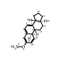 [SiH3]OC1=CC2=CC=C3[C@@H]4CCC[C@H]4CC[C@@H]3[C@H]2C=C1